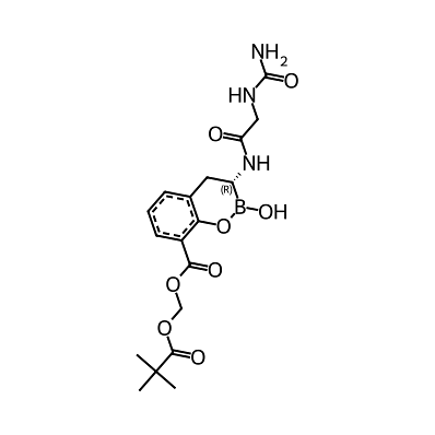 CC(C)(C)C(=O)OCOC(=O)c1cccc2c1OB(O)[C@@H](NC(=O)CNC(N)=O)C2